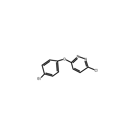 CCc1ccc(Oc2ccc(Cl)nn2)cc1